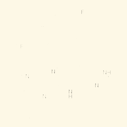 Fc1ccc(C(F)c2nc(Nc3cc[nH]n3)n3cccc3n2)cc1